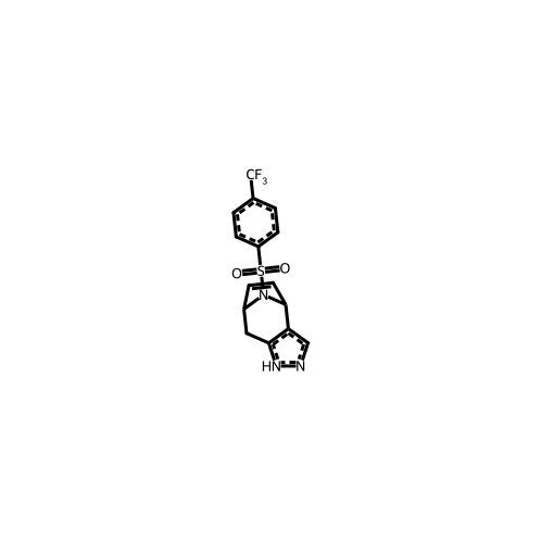 O=S(=O)(c1ccc(C(F)(F)F)cc1)N1C2C=CC1c1cn[nH]c1C2